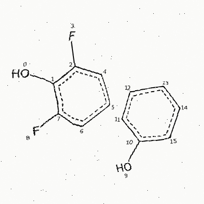 Oc1c(F)cccc1F.Oc1ccccc1